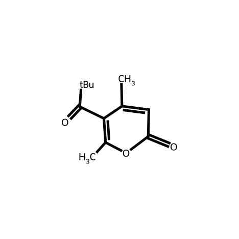 Cc1cc(=O)oc(C)c1C(=O)C(C)(C)C